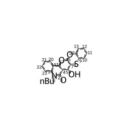 CCCCn1c(=O)c2c(O)c(Sc3ccccc3)c(=O)oc2c2ccccc21